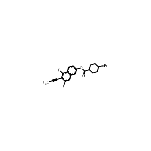 CCCC1CCC(C(=O)Oc2ccc3c(F)c(C#CC(F)(F)F)c(F)cc3c2)CC1